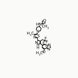 COc1cc(-c2[nH]nc(-c3nc(C)c(N4CCC(NC5(C)COC5)CC4)s3)c2CC(F)(F)F)cn2ncnc12